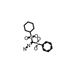 [N-]=[N+]=C(S(=O)(=O)c1ccccc1)S(=O)(=O)C1CCCCC1